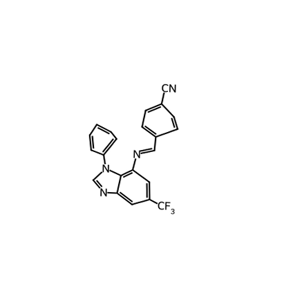 N#Cc1ccc(C=Nc2cc(C(F)(F)F)cc3ncn(-c4ccccc4)c23)cc1